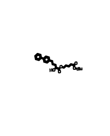 CC(C)(C)OC(=O)CCCCOC(=O)C(O)CCCc1ccc(-c2ccccc2)cc1